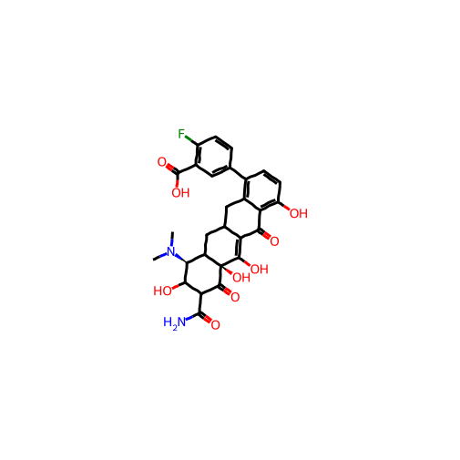 CN(C)[C@@H]1C(O)C(C(N)=O)C(=O)[C@@]2(O)C(O)=C3C(=O)c4c(O)ccc(-c5ccc(F)c(C(=O)O)c5)c4CC3CC12